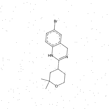 CC1(C)CC(C2=NCc3cc(Br)ccc3N2)CCO1